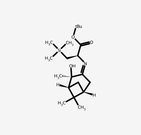 CC(C)(C)OC(=O)[C@H](C[Si](C)(C)C)/N=C1/C[C@H]2C[C@H](C2(C)C)[C@@]1(C)O